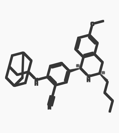 CCCC[C@H]1Cc2cc(OC)ccc2[C@@H](c2ccc(NC34CC5CC(CC(C5)C3)C4)c(C#N)c2)N1